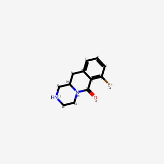 O=C1c2c(Br)cccc2CC2CNCCN12